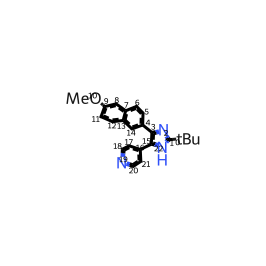 [CH2]C(C)(C)c1nc(-c2ccc3cc(OC)ccc3c2)c(-c2ccncc2)[nH]1